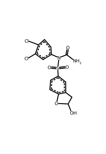 NC(=O)N(c1ccc(Cl)c(Cl)c1)S(=O)(=O)c1ccc2c(c1)CC(O)O2